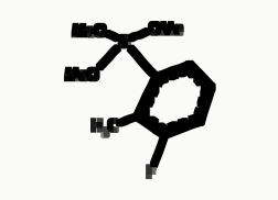 CO[Si](OC)(OC)c1cccc(F)c1C